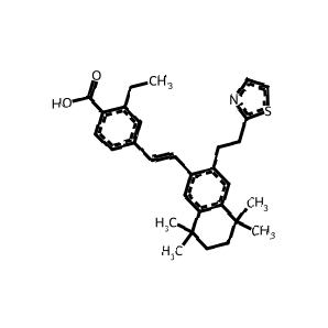 CCc1cc(C=Cc2cc3c(cc2CCc2nccs2)C(C)(C)CCC3(C)C)ccc1C(=O)O